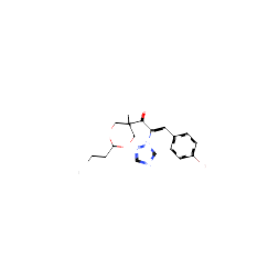 CCCC1OCC(C)(C(=O)C(=Cc2ccc(Br)cc2)n2cncn2)CO1